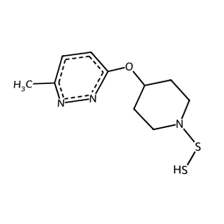 Cc1ccc(OC2CCN(SS)CC2)nn1